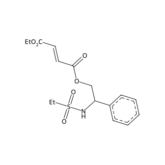 CCOC(=O)/C=C/C(=O)OCC(NS(=O)(=O)CC)c1ccccc1